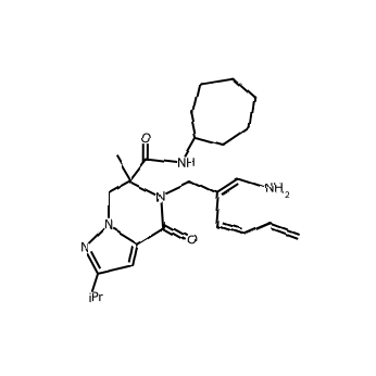 C=C/C=C\C(=C/N)CN1C(=O)c2cc(C(C)C)nn2CC1(C)C(=O)NC1CCCCCC1